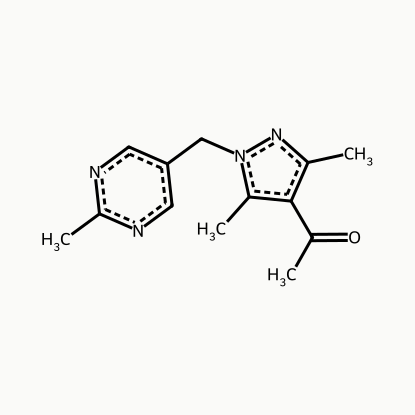 CC(=O)c1c(C)nn(Cc2cnc(C)nc2)c1C